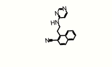 N#Cc1ccc2ccccc2c1CCNc1ccncn1